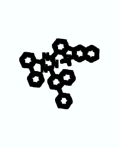 C[Si]1(C)c2cc3ccccc3cc2-c2cccc(-c3nc(-c4ccccc4-c4ccccc4)nc(-c4ccc(-c5ccccc5)c5ccccc45)n3)c21